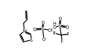 C=CC[n+]1ccsc1.O=S(=O)(O)C(F)(F)F.O=S(=O)([O-])C(F)(F)F